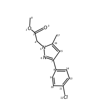 COC(=O)Cn1nc(-c2ccc(Cl)cc2)cc1C